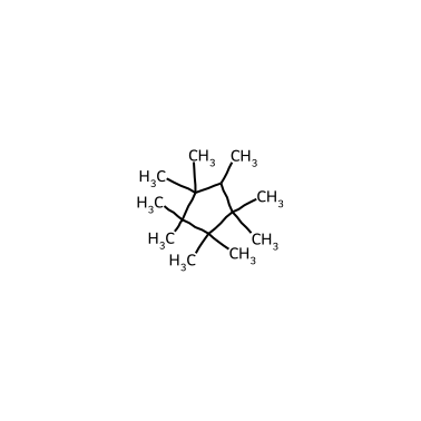 CC1C(C)(C)C(C)(C)C(C)(C)C1(C)C